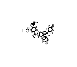 CC(C)Oc1ccc(C(=O)N2CCC3(CC2)CN(CC(F)F)CC(c2ccc(F)cc2)O3)cc1CO